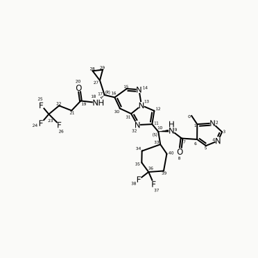 Cc1ncncc1C(=O)N[C@H](c1cn2ncc([C@H](NC(=O)CCC(F)(F)F)C3CC3)cc2n1)C1CCC(F)(F)CC1